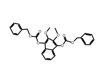 COc1c(OC)c(OC(=O)OCc2ccccc2)c2ccccc2c1OC(=O)OCc1ccccc1